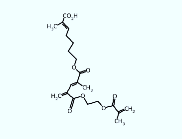 C=C(C)C(=O)OCCOC(=O)C(=C)C=C(C)C(=O)OCCCCC=C(C)C(=O)O